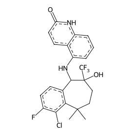 CC1(C)CCC(O)(C(F)(F)F)C(Nc2cccc3[nH]c(=O)ccc23)c2ccc(F)c(Cl)c21